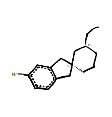 CC[C@H]1CCC[C@@]2(Cc3ccc(Br)cc3C2)C1